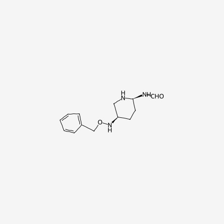 O=CN[C@H]1CC[C@@H](NOCc2ccccc2)CN1